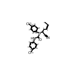 C/C=C\CC(C#N)N(C(=O)Nc1ccc(Cl)cc1)c1ccc(Cl)cc1